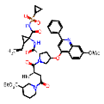 C=CC1C[C@]1(NC(=O)[C@@H]1C[C@@H](Oc2cc(-c3ccccc3)nc3cc(OC)ccc23)CN1C(=O)[C@@H](CC(=O)N1CCCC(C(=O)OCC)C1)C(C)(C)C)C(=O)NS(=O)(=O)C1CC1